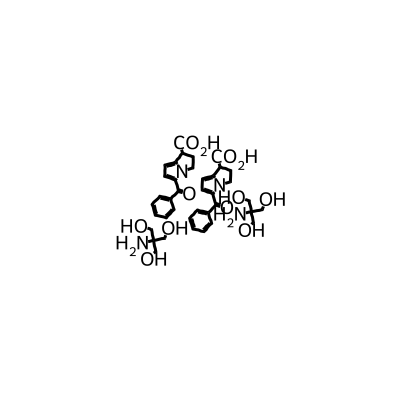 NC(CO)(CO)CO.NC(CO)(CO)CO.O=C(c1ccccc1)c1ccc2n1CCC2C(=O)O.O=C(c1ccccc1)c1ccc2n1CCC2C(=O)O